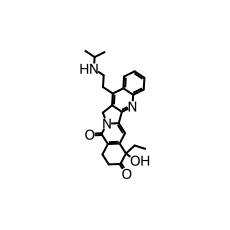 CCC1(O)C(=O)CCc2c1cc1n(c2=O)Cc2c-1nc1ccccc1c2CCNC(C)C